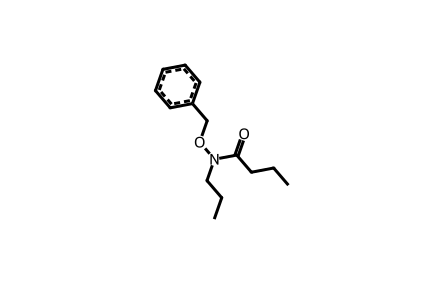 CCCC(=O)N(CCC)OCc1ccccc1